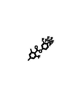 Cc1cc(C)c(C(=O)Oc2ccc(S(F)(F)(F)(F)F)c(F)c2)c(F)c1